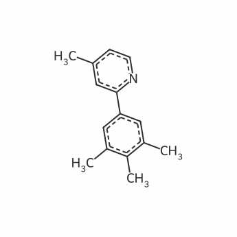 Cc1ccnc(-c2cc(C)c(C)c(C)c2)c1